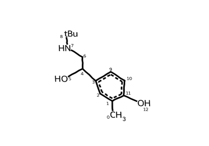 Cc1cc(C(O)CNC(C)(C)C)ccc1O